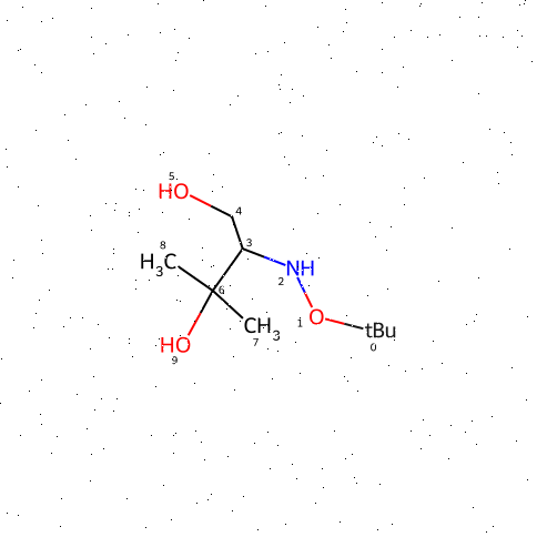 CC(C)(C)ONC(CO)C(C)(C)O